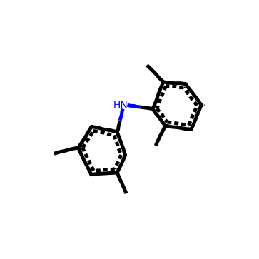 Cc1cc(C)cc(Nc2c(C)c[c]cc2C)c1